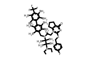 Bc1c(B)c(-c2c(B)c(B)c(C(F)(F)F)c(B)c2B)c(B)c(B)c1CN(C(=O)Cn1c(SCc2ccc(F)cc2)nc(=O)c2c1CCC2)C(B)(B)C(B)(B)N(CC)CC